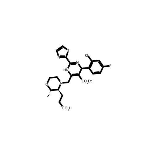 CCOC(=O)C1=C(CN2CCO[C@@H](C)[C@@H]2CCC(=O)O)NC(c2nccs2)=NC1c1ccc(F)cc1Cl